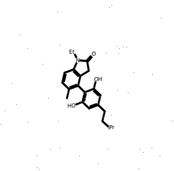 CCN1C(=O)Cc2c1ccc(C)c2-c1c(O)cc(CCC(C)C)cc1O